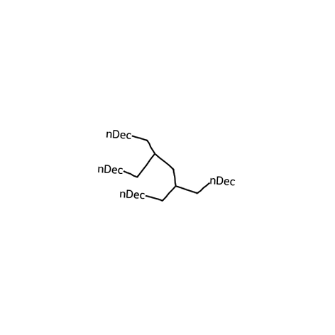 CCCCCCCCCCCC(CCCCCCCCCCC)CC(CCCCCCCCCCC)CCCCCCCCCCC